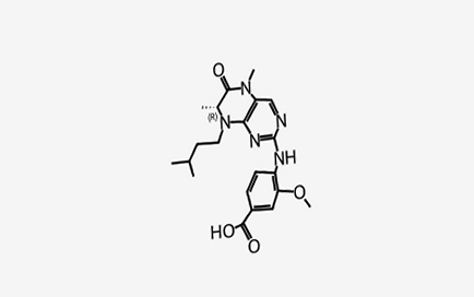 COc1cc(C(=O)O)ccc1Nc1ncc2c(n1)N(CCC(C)C)[C@H](C)C(=O)N2C